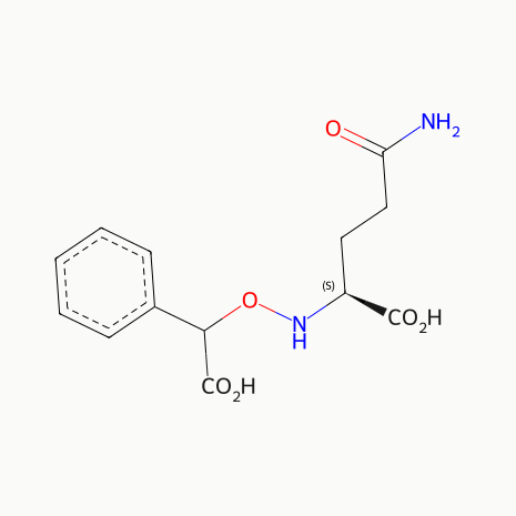 NC(=O)CC[C@H](NOC(C(=O)O)c1ccccc1)C(=O)O